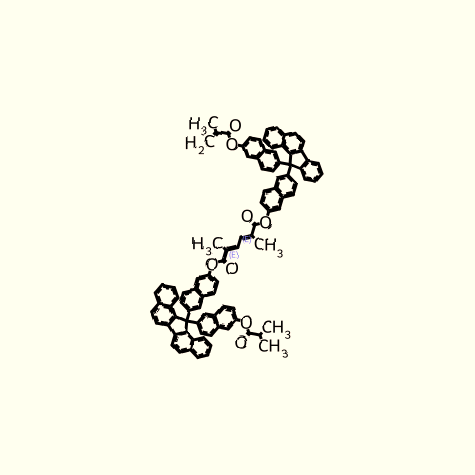 C=C(C)C(=O)Oc1ccc2cc(C3(c4ccc5cc(OC(=O)/C(C)=C/C=C(\C)C(=O)Oc6ccc7cc(C8(c9ccc%10cc(OC(=O)C(C)C)ccc%10c9)c9c(ccc%10ccccc9%10)-c9ccc%10ccccc%10c98)ccc7c6)ccc5c4)c4ccccc4-c4ccc5ccccc5c43)ccc2c1